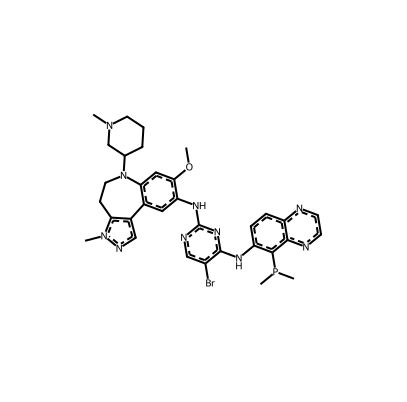 COc1cc2c(cc1Nc1ncc(Br)c(Nc3ccc4nccnc4c3P(C)C)n1)-c1cnn(C)c1CCN2C1CCCN(C)C1